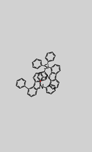 c1ccc(-c2cccc3c2c2cccc(-n4c5ccccc5c5cccc([Si](c6ccccc6)(c6ccccc6)c6ccccc6)c54)c2n3-c2ccccc2)cc1